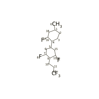 CC1CCC(C2CC(F)C(CCC(F)(F)F)C(F)C2)C(F)C1